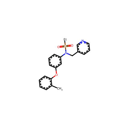 CCS(=O)(=O)N(Cc1cccnc1)c1cccc(Oc2ccccc2C)c1